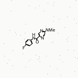 CNc1cnc(C(=O)Nc2ccc(F)cc2)cn1